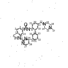 Cc1ccc(C(=O)Nc2ccc(CN3CCN(C)CC3)cc2)cc1Nc1nccc(-c2ccccc2)n1